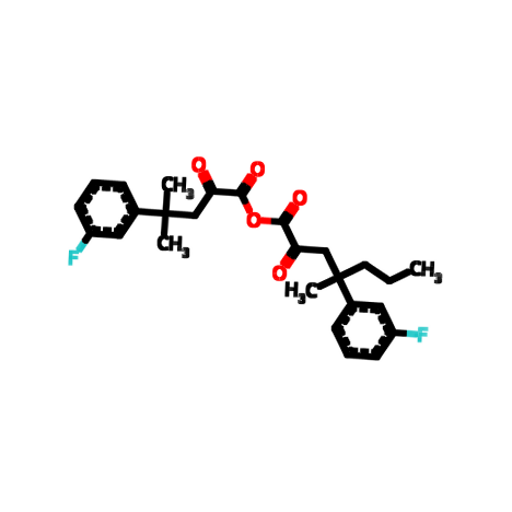 CCCC(C)(CC(=O)C(=O)OC(=O)C(=O)CC(C)(C)c1cccc(F)c1)c1cccc(F)c1